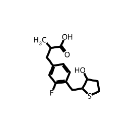 CC(Cc1ccc(CC2SCCC2O)c(F)c1)C(=O)O